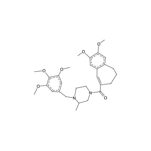 COc1cc2c(cc1OC)CCCC(C(=O)N1CCN(Cc3cc(OC)c(OC)c(OC)c3)C(C)C1)=C2